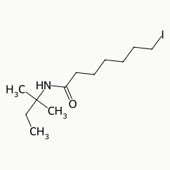 CCC(C)(C)NC(=O)CCCCCCI